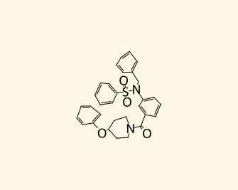 O=C(c1cccc(N(Cc2ccccc2)S(=O)(=O)c2ccccc2)c1)N1CCC(Oc2ccccc2)CC1